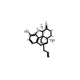 C=CCN1CCC23c4c5ccc(O)c4O[C@H]2C(=O)CC[C@@]3(O)C1C5